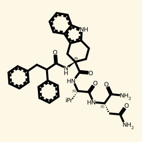 CC(C)[C@H](NC(=O)[C@@]1(NC(=O)C(Cc2ccccc2)c2ccccc2)CCc2[nH]c3ccccc3c2C1)C(=O)N[C@@H](CC(N)=O)C(N)=O